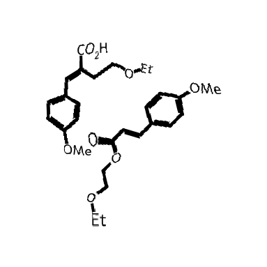 CCOCCC(=Cc1ccc(OC)cc1)C(=O)O.CCOCCOC(=O)C=Cc1ccc(OC)cc1